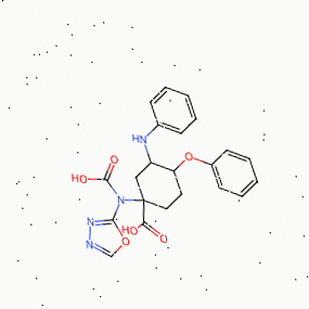 O=C(O)N(c1nnco1)C1(C(=O)O)CCC(Oc2ccccc2)C(Nc2ccccc2)C1